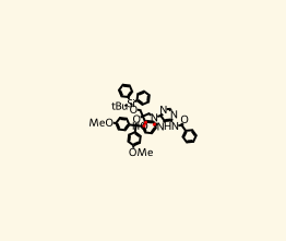 COc1ccc(C(OC(CO)(CO[Si](c2ccccc2)(c2ccccc2)C(C)(C)C)Cn2cnc3c(NC(=O)c4ccccc4)ncnc32)(c2ccccc2)c2ccc(OC)cc2)cc1